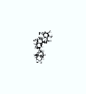 Cc1cc(F)cc([C@@H](C)Nc2nnc(C)c3cnc(N4CCN5CCOC[C@@H]5C4)cc23)c1F